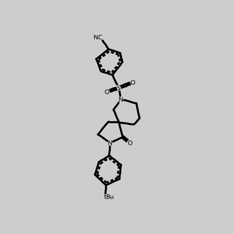 CC(C)(C)c1ccc(N2CCC3(CCCN(S(=O)(=O)c4ccc(C#N)cc4)C3)C2=O)cc1